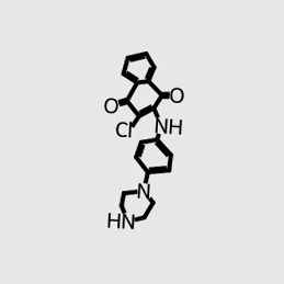 O=C1C(Cl)=C(Nc2ccc(N3CCNCC3)cc2)C(=O)c2ccccc21